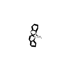 CN1c2ccccc2SC12C=Cc1ccccc1O2